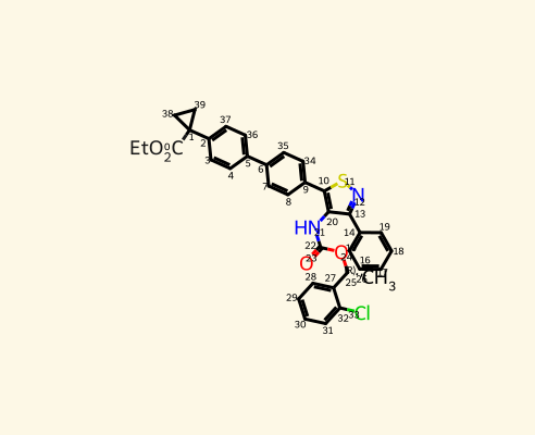 CCOC(=O)C1(c2ccc(-c3ccc(-c4snc(-c5ccccc5)c4NC(=O)O[C@H](C)c4ccccc4Cl)cc3)cc2)CC1